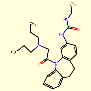 CCCN(CCC)CC(=O)N1c2ccccc2CCc2ccc(NC(=O)NCC)cc21